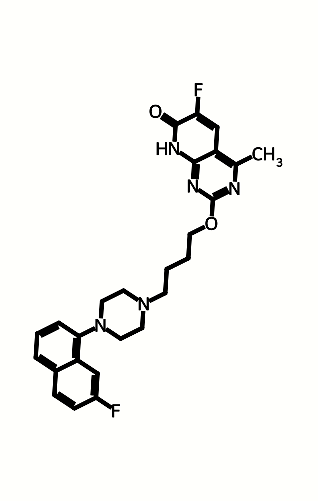 Cc1nc(OCCCCN2CCN(c3cccc4ccc(F)cc34)CC2)nc2[nH]c(=O)c(F)cc12